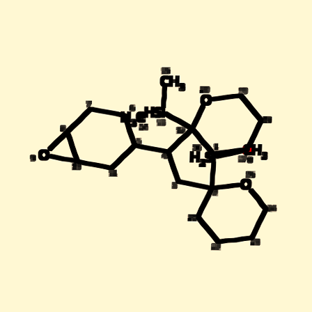 C[SiH2]C1(CC(C2CCC3OC3C2)C2([SiH](C)C)CCCCO2)CCCCO1